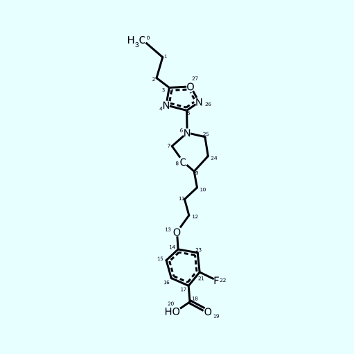 CCCc1nc(N2CCC(CCCOc3ccc(C(=O)O)c(F)c3)CC2)no1